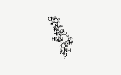 COC(=O)Nc1ccc2c(c1)NC(=O)[C@H](C)CCC[C@H](NC(=O)c1ncn(-c3cccc(Cl)c3F)c1C)c1nc-2c[nH]1